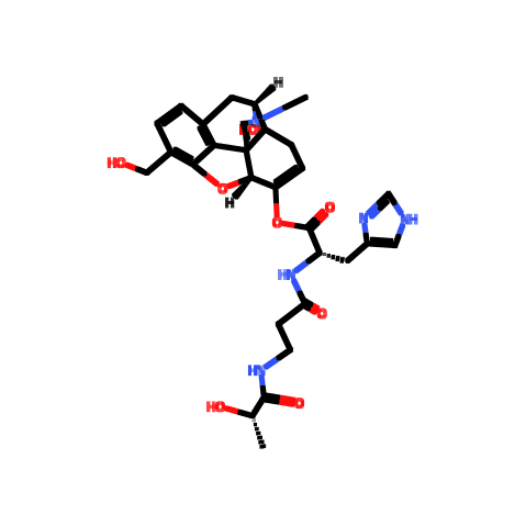 C[C@H](O)C(=O)NCCC(=O)N[C@@H](Cc1c[nH]cn1)C(=O)OC1=CC[C@@]2(O)[C@H]3Cc4ccc(CO)c5c4[C@@]2(CCN3C)[C@H]1O5